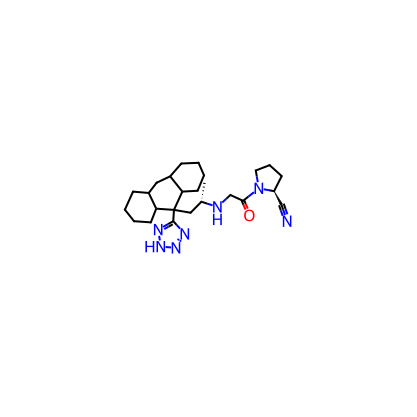 C[C@@H](CC1(c2nn[nH]n2)C2CCCCC2CC2CCCCC21)NCC(=O)N1CCC[C@H]1C#N